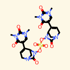 Cn1cc(C2=CCN3CC2N(OS(=O)(=O)ON2C(=O)N4CC=C(c5cn(C)c(=O)n(C)c5=O)C2C4)C3=O)c(=O)n(C)c1=O